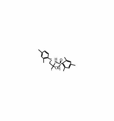 Cc1ccc(SCC(I)(NS(=O)(=O)c2c(C)cc(C)cc2C)C(F)(F)F)c(C)c1